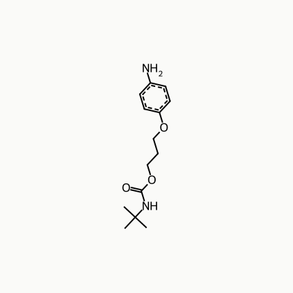 CC(C)(C)NC(=O)OCCCOc1ccc(N)cc1